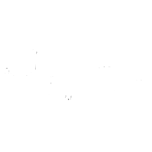 Cc1cc(-c2[nH]c3ccc4c(c3c2C)OCCO4)cc(C)c1O